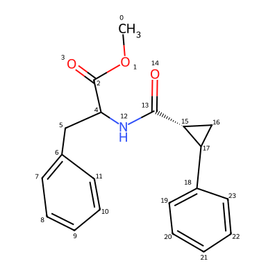 COC(=O)C(Cc1ccccc1)NC(=O)[C@@H]1CC1c1ccccc1